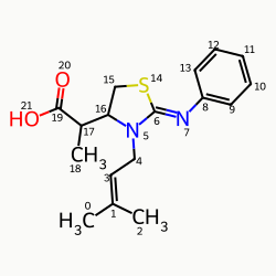 CC(C)=CCN1C(=Nc2ccccc2)SCC1C(C)C(=O)O